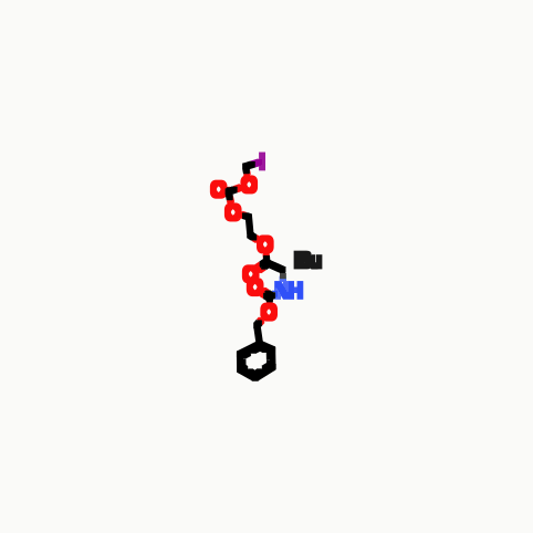 CC[C@H](C)[C@H](NC(=O)OCc1ccccc1)C(=O)OCCOC(=O)OCI